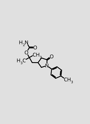 Cc1ccc(N2CC(CC(C)(C)OC(N)=O)CC2=O)cc1